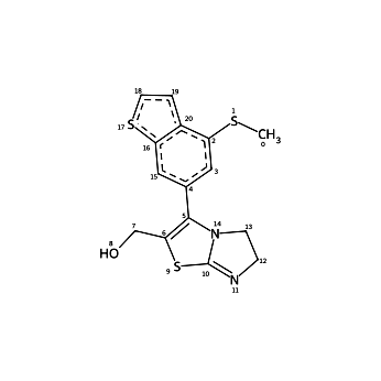 CSc1cc(C2=C(CO)SC3=NCCN32)cc2sccc12